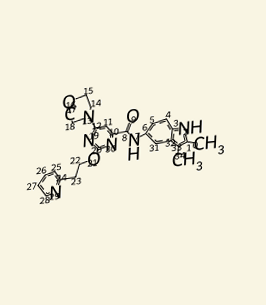 Cc1[nH]c2ccc(NC(=O)c3cc(N4CCOCC4)nc(OCCc4ccccn4)n3)cc2c1C